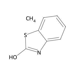 C.Oc1nc2ccccc2s1